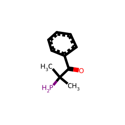 CC(C)(P)C(=O)c1ccccc1